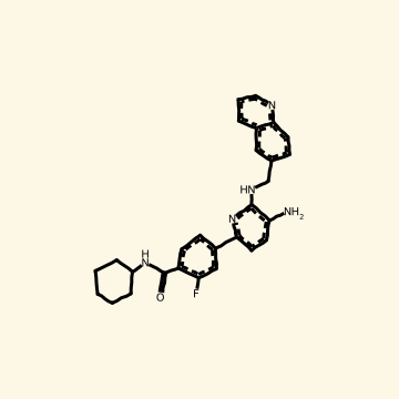 Nc1ccc(-c2ccc(C(=O)NC3CCCCC3)c(F)c2)nc1NCc1ccc2ncccc2c1